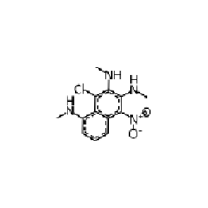 CNc1c(NC)c(Cl)c2c(NC)cccc2c1[N+](=O)[O-]